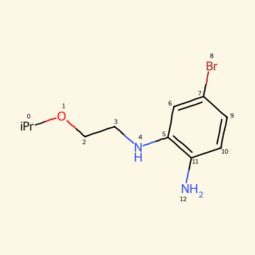 CC(C)OCCNc1cc(Br)ccc1N